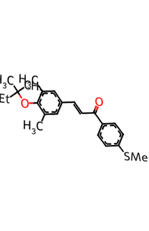 CCC(C)(C)Oc1c(C)cc(C=CC(=O)c2ccc(SC)cc2)cc1C